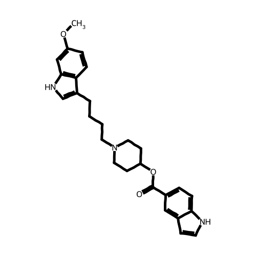 COc1ccc2c(CCCCN3CCC(OC(=O)c4ccc5[nH]ccc5c4)CC3)c[nH]c2c1